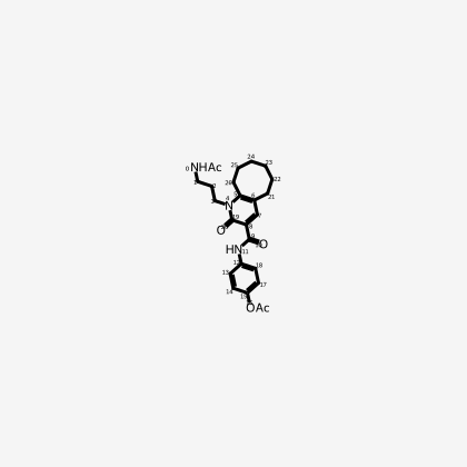 CC(=O)NCCCn1c2c(cc(C(=O)Nc3ccc(OC(C)=O)cc3)c1=O)CCCCCC2